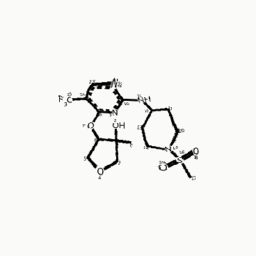 CC1(O)COCC1Oc1nc(NC2CCN(S(C)(=O)=O)CC2)ncc1C(F)(F)F